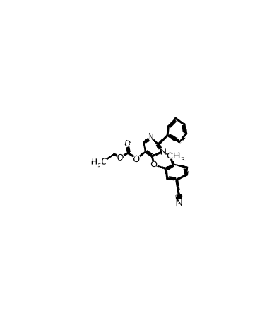 CCOC(=O)Oc1cnc(-c2ccccc2)nc1Oc1cc(C#N)ccc1C